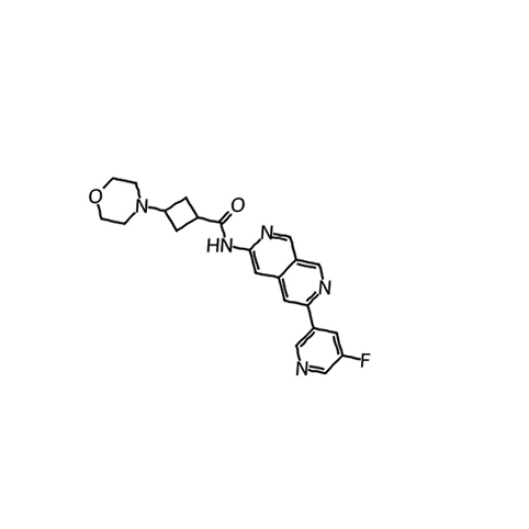 O=C(Nc1cc2cc(-c3cncc(F)c3)ncc2cn1)C1CC(N2CCOCC2)C1